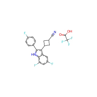 N#CC1CC(c2c(-c3ccc(F)cc3)[nH]c3c(F)cc(F)cc23)C1.O=C(O)C(F)(F)F